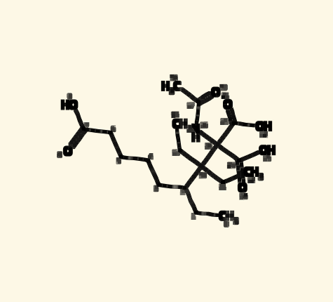 CCC(CCCCC(=O)O)C(CC)(CC)C(NC(C)=O)(C(=O)O)C(=O)O